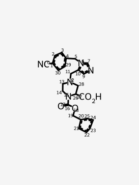 N#Cc1ccc(Cn2cncc2CN2CCN(C(=O)OCc3ccccc3)C(C(=O)O)C2)cc1